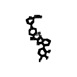 COc1cc(N2CCC(Nc3nc4c(-c5ccc(F)c(F)c5F)cccn4n3)[C@@H](F)C2)ccn1